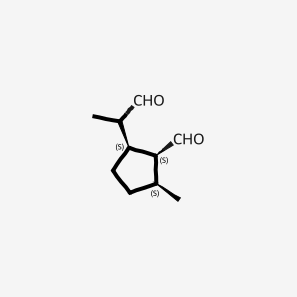 CC(C=O)[C@@H]1CC[C@H](C)[C@@H]1C=O